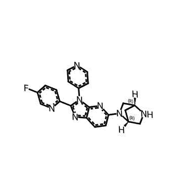 Fc1ccc(-c2nc3ccc(N4C[C@H]5C[C@@H]4CN5)nc3n2-c2ccncc2)nc1